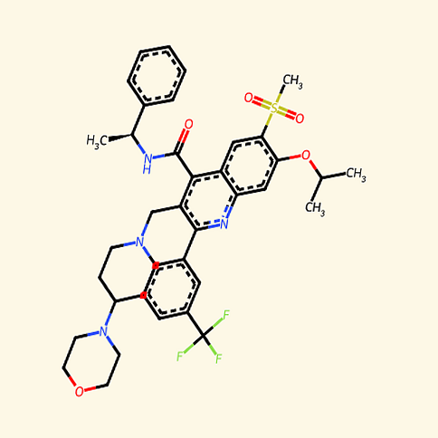 CC(C)Oc1cc2nc(-c3cccc(C(F)(F)F)c3)c(CN3CCC(N4CCOCC4)CC3)c(C(=O)N[C@@H](C)c3ccccc3)c2cc1S(C)(=O)=O